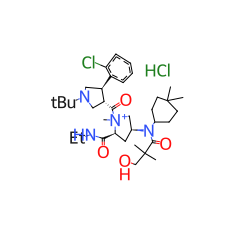 CCNC(=O)[C@@H]1C[C@H](N(C(=O)C(C)(C)CO)C2CCC(C)(C)CC2)C[N+]1(C)C(=O)[C@@H]1CN(C(C)(C)C)C[C@H]1c1ccccc1Cl.Cl